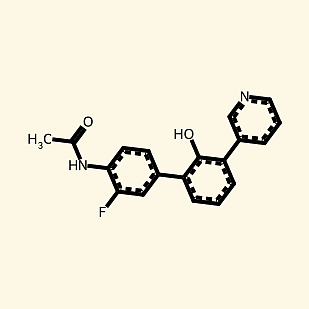 CC(=O)Nc1ccc(-c2cccc(-c3cccnc3)c2O)cc1F